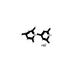 Br.Cc1cc(C)nc(C)c1.Cc1cc(C)nc(C)c1